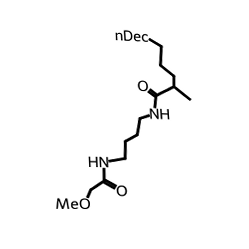 CCCCCCCCCCCCCC(C)C(=O)NCCCCNC(=O)COC